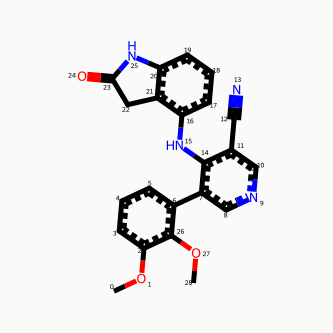 COc1cccc(-c2cncc(C#N)c2Nc2cccc3c2CC(=O)N3)c1OC